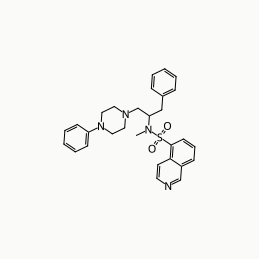 CN(C(Cc1ccccc1)CN1CCN(c2ccccc2)CC1)S(=O)(=O)c1cccc2cnccc12